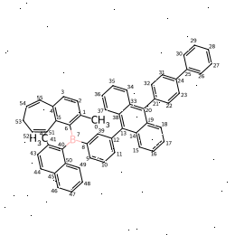 Cc1ccc2c(c1B(c1cccc(-c3c4ccccc4c(-c4ccc(-c5ccccc5)cc4)c4ccccc34)c1)c1c(C)ccc3ccccc13)C=CCC=C2